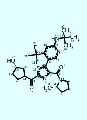 C[C@H]1CCCN1C(=O)c1nc(C(=O)C2CC[C@H](O)C2)sc1-c1cnc(NC(C)(C)C)cc1C(F)(F)F